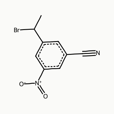 CC(Br)c1cc(C#N)cc([N+](=O)[O-])c1